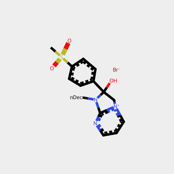 CCCCCCCCCCN1c2nccc[n+]2CC1(O)c1ccc(S(C)(=O)=O)cc1.[Br-]